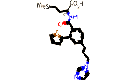 CSCC[C@H](NC(=O)c1ccc(C=CCn2ccnc2)cc1-c1cccs1)C(=O)O